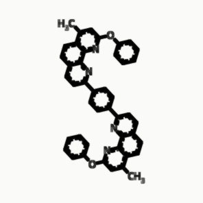 Cc1cc(Oc2ccccc2)nc2c1ccc1ccc(-c3ccc(-c4ccc5ccc6c(C)cc(Oc7ccccc7)nc6c5n4)cc3)nc12